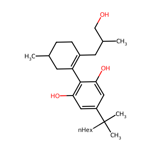 CCCCCCC(C)(C)c1cc(O)c(C2=C(CC(C)CO)CCC(C)C2)c(O)c1